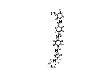 Cc1ccc(N=Nc2ccc(N=Nc3ccc(N=Nc4ccc(N5CCCCC5)s4)cc3)cc2)cc1Cl